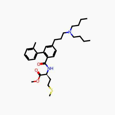 CCCCN(CCCC)CCCc1ccc(C(=O)N[C@@H](CCSC)C(=O)OC)c(-c2ccccc2C)c1